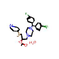 CC(=O)OC(CSc1ccncc1)CN1CCN(C(c2ccc(F)cc2)c2ccc(F)cc2)CC1.O